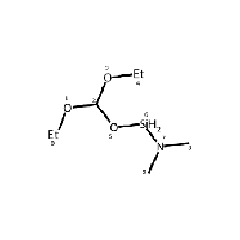 CCOC(OCC)O[SiH2]N(C)C